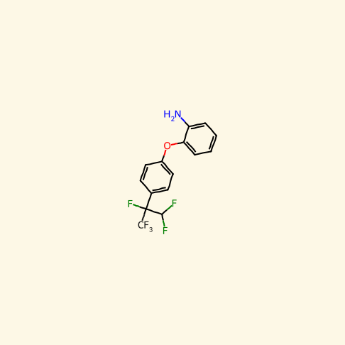 Nc1ccccc1Oc1ccc(C(F)(C(F)F)C(F)(F)F)cc1